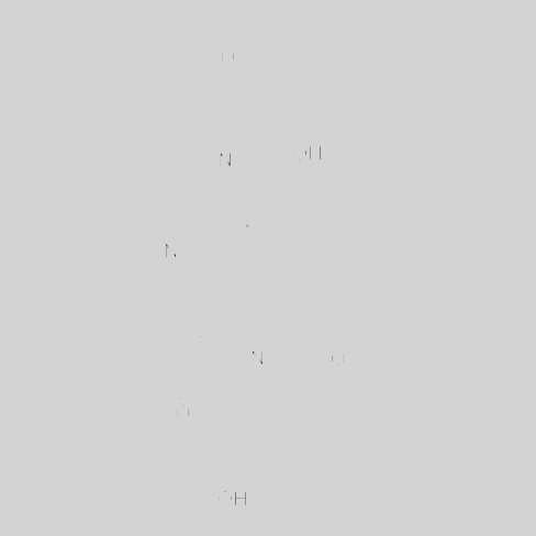 CN1CCN(C(=O)C2(O)CCCC2)CC12CCC(=O)N(CC(=O)O)CC2